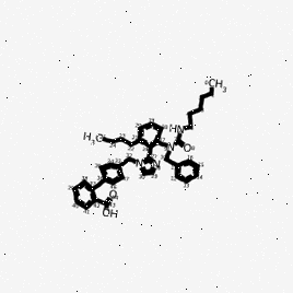 CCCCCCNC(=O)N(Cc1ccccc1)c1cccc(CCCC)c1-c1nccn1Cc1ccc(-c2ccccc2C(=O)O)cc1